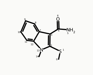 CSc1c(C(N)=O)c2ccccc2n1C